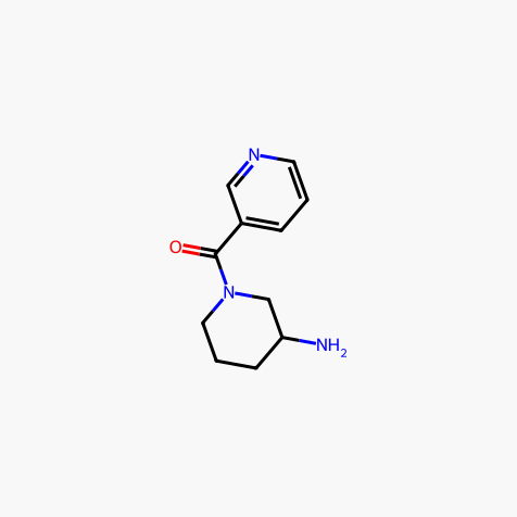 NC1CCCN(C(=O)c2cccnc2)C1